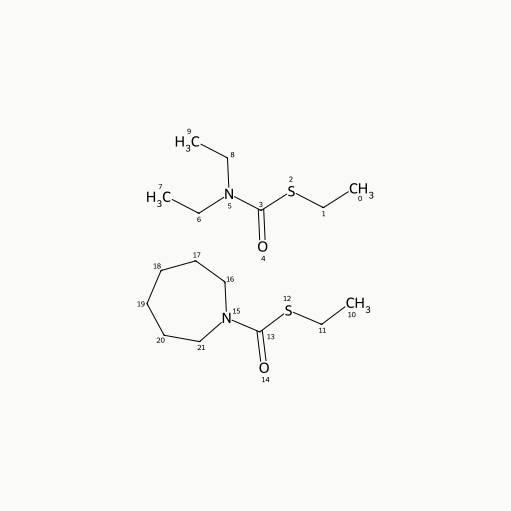 CCSC(=O)N(CC)CC.CCSC(=O)N1CCCCCC1